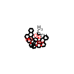 CCC1(CC)OC(C(O)(c2cc3ccccc3c3ccccc23)c2cc3ccccc3c3ccccc23)C(C(O)(c2cc3ccccc3c3ccccc23)c2cc3ccccc3c3ccccc23)O1